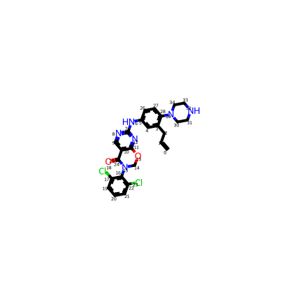 C=CCc1cc(Nc2ncc3c(n2)OCN(c2c(Cl)cccc2Cl)C3=O)ccc1N1CCNCC1